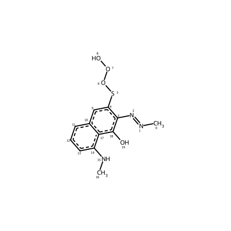 CN=Nc1c(SOOO)cc2cccc(NC)c2c1O